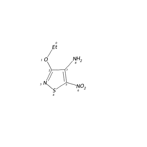 CCOc1nsc([N+](=O)[O-])c1N